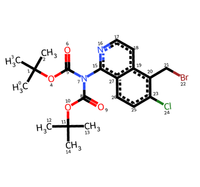 CC(C)(C)OC(=O)N(C(=O)OC(C)(C)C)c1nccc2c(CBr)c(Cl)ccc12